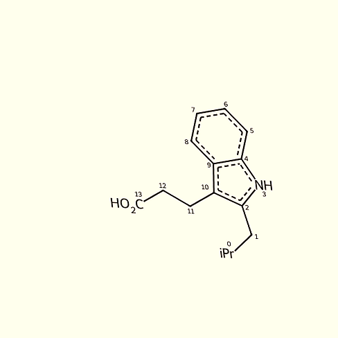 CC(C)Cc1[nH]c2ccccc2c1CCC(=O)O